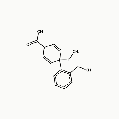 CCc1ccccc1C1(OC)C=CC(C(=O)O)C=C1